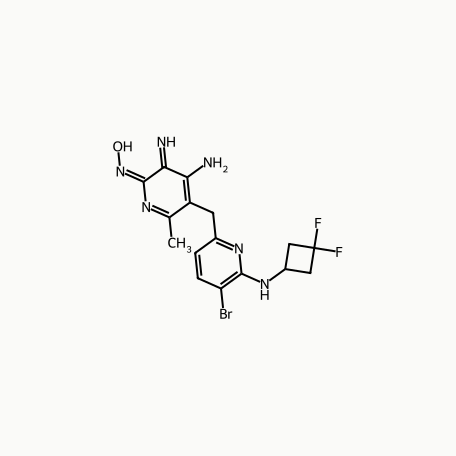 CC1=N/C(=N/O)C(=N)C(N)=C1Cc1ccc(Br)c(NC2CC(F)(F)C2)n1